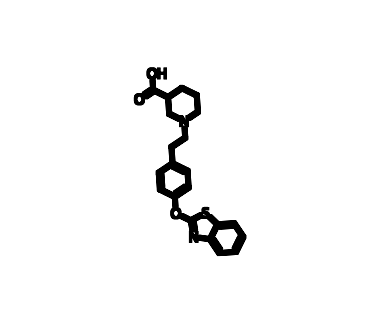 O=C(O)C1CCCN(CCc2ccc(Oc3nc4ccccc4s3)cc2)C1